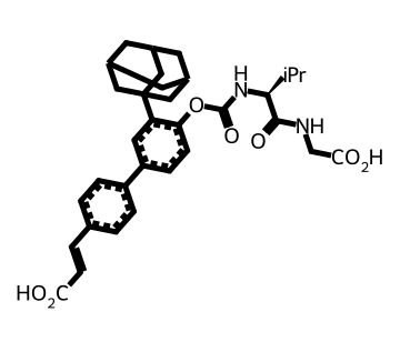 CC(C)[C@H](NC(=O)Oc1ccc(-c2ccc(/C=C/C(=O)O)cc2)cc1C12CC3CC(CC(C3)C1)C2)C(=O)NCC(=O)O